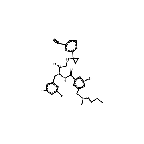 C#Cc1cccc(C2(NC[C@H](O)[C@H](Cc3cc(F)cc(F)c3)NC(=O)c3cc(Br)cc(CN(C)CCCC)c3)CC2)c1